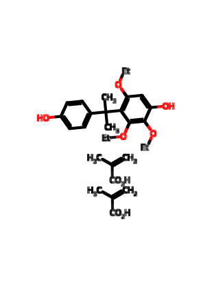 C=C(C)C(=O)O.C=C(C)C(=O)O.CCOc1cc(O)c(OCC)c(OCC)c1C(C)(C)c1ccc(O)cc1